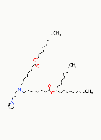 CCCCCCCCCOC(=O)CCCCCCCN(CCCCCCCC(=O)OC(CCCCCCCC)CCCCCCCC)CCCn1cccc1